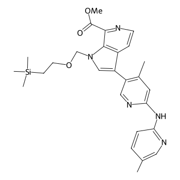 COC(=O)c1nccc2c(-c3cnc(Nc4ccc(C)cn4)cc3C)cn(COCC[Si](C)(C)C)c12